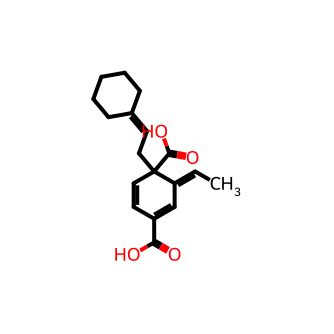 CC=C1C=C(C(=O)O)C=CC1(CC=C1CCCCC1)C(=O)O